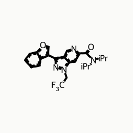 CC(C)N(C(=O)c1cc2c(cn1)c(-c1coc3ccccc13)nn2CC(F)(F)F)C(C)C